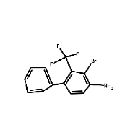 Nc1ccc(-c2ccccc2)c(C(F)(F)F)c1Br